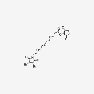 O=C(CCOCCOCCOCCN1C(=O)C(Br)=C(Br)C1=O)ON1C(=O)CCC1=O